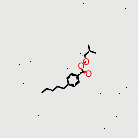 CCCCCc1ccc(C(=O)OO[CH]C(C)C)cc1